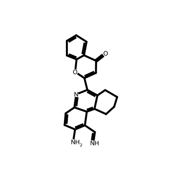 N=Cc1c(N)ccc2nc(-c3cc(=O)c4ccccc4o3)c3c(c12)CCCC3